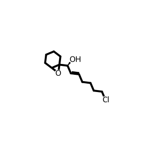 O[C@@H](/C=C/CCCCCl)C12CCCCC1O2